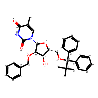 Cc1cn([C@@H]2O[C@H](CO[Si](c3ccccc3)(c3ccccc3)C(C)(C)C)[C@@H](O)[C@H]2OCc2ccccc2)c(=O)[nH]c1=O